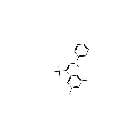 CCC(F)(F)/C(=C/[S+]([O-])c1ccccc1)c1cc(Cl)cc(Cl)c1